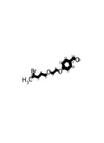 CC(Br)CCCOCCOc1ccc(C=O)cc1